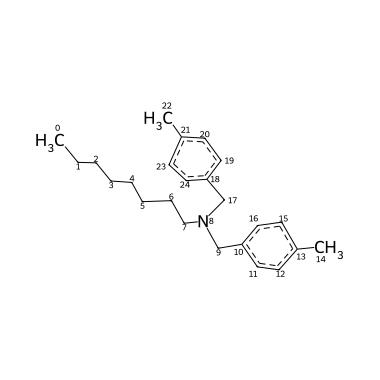 CCCCCCCCN(Cc1ccc(C)cc1)Cc1ccc(C)cc1